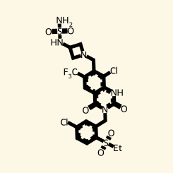 CCS(=O)(=O)c1ccc(Cl)cc1Cn1c(=O)[nH]c2c(Cl)c(CN3CC(NS(N)(=O)=O)C3)c(C(F)(F)F)cc2c1=O